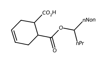 CCCCCCCCCC(CCC)OC(=O)C1CC=CCC1C(=O)O